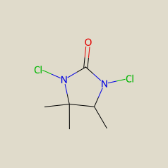 CC1N(Cl)C(=O)N(Cl)C1(C)C